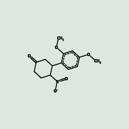 COc1ccc(C2CC(=O)CCC2[N+](=O)[O-])c(OC)c1